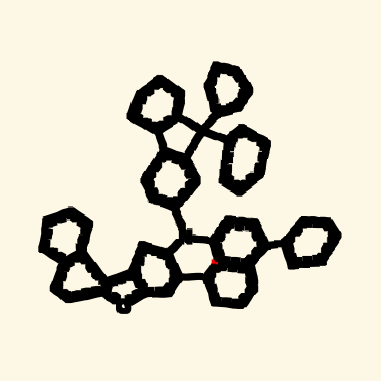 c1ccc(-c2ccc(N(c3ccc4c(c3)C(c3ccccc3)(c3ccccc3)c3ccccc3-4)c3cc4c(cc3-c3ccccc3)oc3ccc5ccccc5c34)cc2)cc1